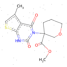 COC(=O)C1(n2c(=O)[nH]c3scc(C)c3c2=O)CCCOC1